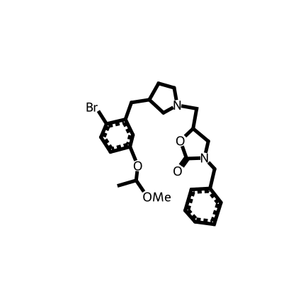 COC(C)Oc1ccc(Br)c(CC2CCN(CC3CN(Cc4ccccc4)C(=O)O3)C2)c1